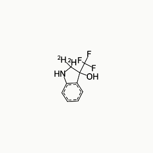 [2H]C1([2H])Nc2ccccc2C1(O)C(F)(F)F